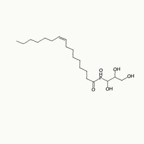 CCCCCC/C=C\CCCCCCCC(=O)[PH](=O)C(O)C(O)CO